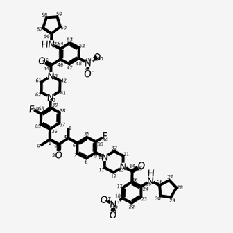 CC(C(=O)C(C)c1ccc(N2CCN(C(=O)c3cc([N+](=O)[O-])ccc3NC3CCCC3)CC2)c(F)c1)c1ccc(N2CCN(C(=O)c3cc([N+](=O)[O-])ccc3NC3CCCC3)CC2)c(F)c1